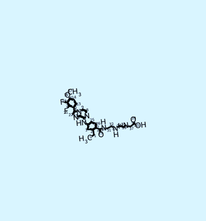 CCc1cc(Nc2nccn3c(-c4ccc(OC)c(F)c4F)cnc23)ccc1C(=O)NCCNCCNCC(=O)O